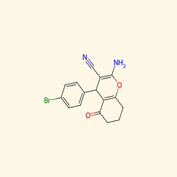 N#CC1=C(N)OC2=C(C(=O)CCC2)C1c1ccc(Br)cc1